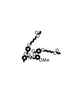 C=CC(=O)OCCCCCCOc1ccc(C(=O)Oc2ccc(C)cc2/C=N/N=C/c2cc(OC)ccc2OC(=O)c2ccc(OCCCCCCOC(=O)C=C)cc2)cc1